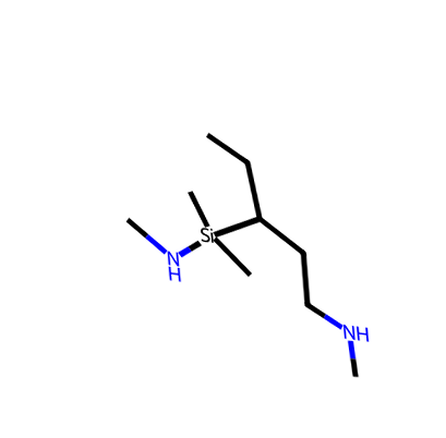 CCC(CCNC)[Si](C)(C)NC